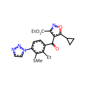 CCOC(=O)c1noc(C2CC2)c1C(=O)c1ccc(-n2ccnn2)c(SC)c1CC